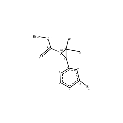 CC(C)(C)OC(=O)[C@H]1C(c2cccc(Br)c2)C1(C)C